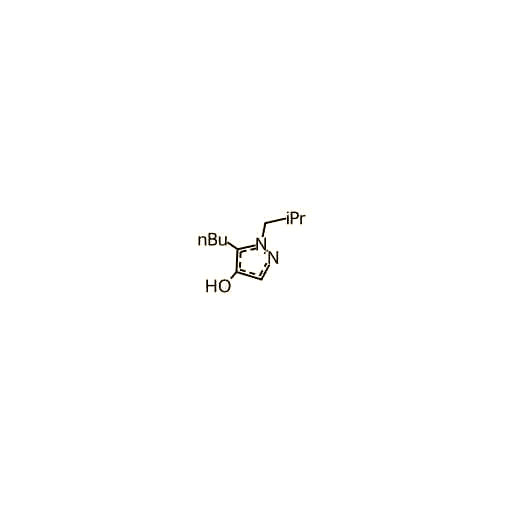 CCCCc1c(O)cnn1CC(C)C